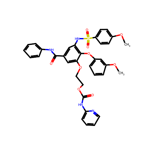 COc1ccc(S(=O)(=O)Nc2cc(C(=O)Nc3ccccc3)cc(OCCOC(=O)Nc3ccccn3)c2Oc2cccc(OC)c2)cc1